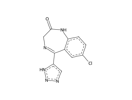 O=C1CN=C(c2cnn[nH]2)c2cc(Cl)ccc2N1